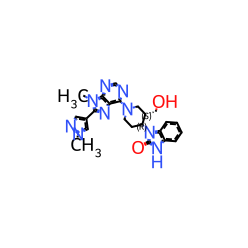 Cn1cc(-c2nc3c(N4CC[C@@H](n5c(=O)[nH]c6ccccc65)[C@@H](CO)C4)ncnc3n2C)cn1